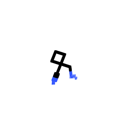 N#CC1(CN)CCC1